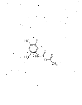 CC(=O)OC(=O)Nc1c(C)cc(O)c(F)c1F